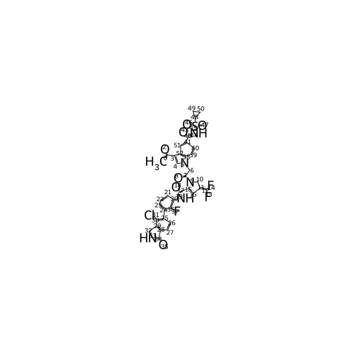 CC(=O)c1cn(CC(=O)N2CC(=C(F)F)C[C@H]2C(=O)Nc2cccc(-c3ccc4c(c3Cl)CNC4=O)c2F)c2ccc(C(=O)NS(=O)(=O)C3CC3)cc12